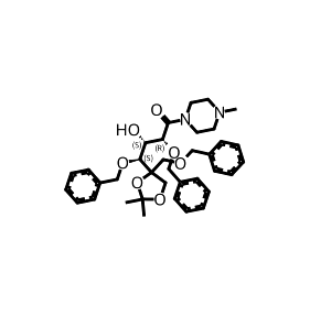 CN1CCN(C(=O)[C@H](OCc2ccccc2)[C@@H](O)[C@H](OCc2ccccc2)C2(COCc3ccccc3)COC(C)(C)O2)CC1